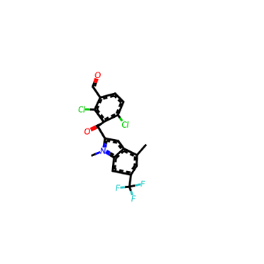 Cc1cc(C(F)(F)F)cc2c1cc(C(=O)c1c(Cl)ccc(C=O)c1Cl)n2C